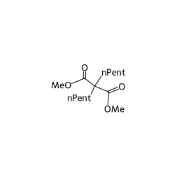 CCCCCC(CCCCC)(C(=O)OC)C(=O)OC